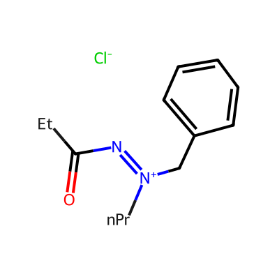 CCC[N+](Cc1ccccc1)=NC(=O)CC.[Cl-]